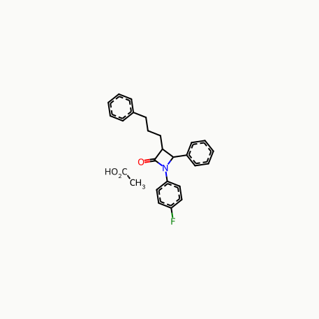 CC(=O)O.O=C1C(CCCc2ccccc2)C(c2ccccc2)N1c1ccc(F)cc1